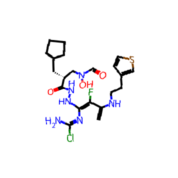 C=C(NCCc1ccsc1)/C(F)=C(\N=C(/N)Cl)NNC(=O)[C@H](CC1CCCC1)CN(O)C=O